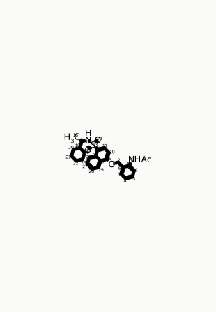 CC(=O)Nc1ccccc1COc1ccc(S(=O)(=O)NC(C)C2CCCCC2)c2ccccc12